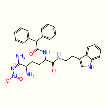 N/C(=N/[N+](=O)[O-])C(N)CCC(NC(=O)C(c1ccccc1)c1ccccc1)C(=O)NCCc1c[nH]c2ccccc12